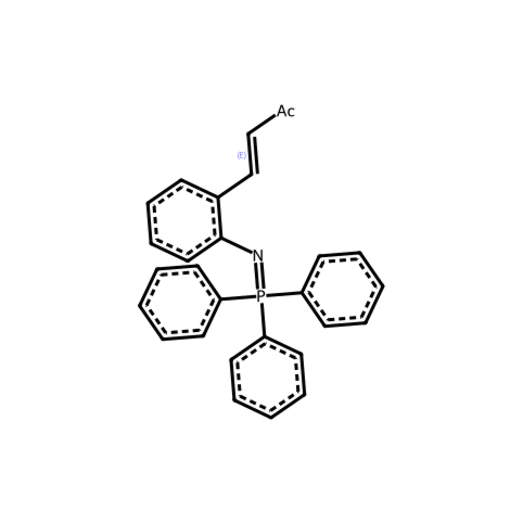 CC(=O)/C=C/c1ccccc1N=P(c1ccccc1)(c1ccccc1)c1ccccc1